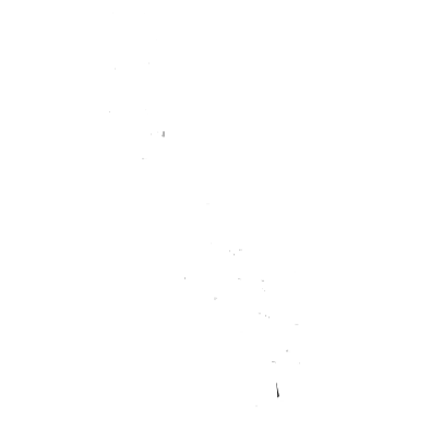 O=C(Cc1ccccc1)NCc1ccc(-c2nc(C(=O)N3CC[C@H](CO)[C@@H](O)C3)co2)cc1